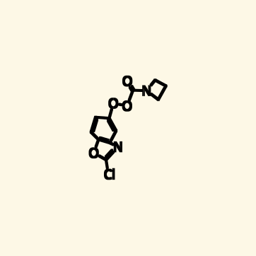 O=C(OOc1ccc2oc(Cl)nc2c1)N1CCC1